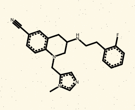 Cn1cncc1CN1CC(NCCc2ccccc2F)Cc2cc(C#N)ccc21